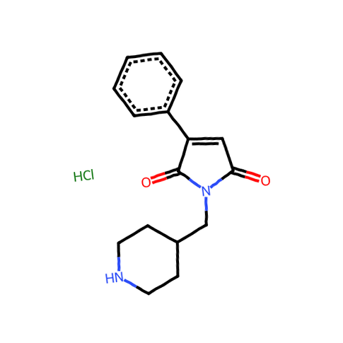 Cl.O=C1C=C(c2ccccc2)C(=O)N1CC1CCNCC1